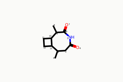 CC1CC(=O)NC(=O)C(C)C2CCC12